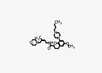 CCCCN1CCN(c2cc(OC)cc3c2OC(C(=O)NCC=C(C)CN2CCOCC2)CC3)CC1